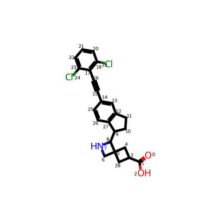 O=C(O)C1CC2(CNC2C2CCc3cc(C#Cc4c(Cl)cccc4Cl)ccc32)C1